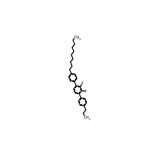 CCCCCCCCCCc1ccc(-c2ccc(-c3ccc(CCC)cc3)c(F)c2F)cc1